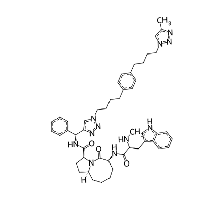 CN[C@@H](Cc1c[nH]c2ccccc12)C(=O)N[C@H]1CCCC[C@H]2CC[C@@H](C(=O)N[C@@H](c3ccccc3)c3cn(CCCCc4ccc(CCCCn5cc(C)nn5)cc4)nn3)N2C1=O